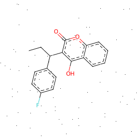 CCC(c1ccc(F)cc1)c1c(O)c2ccccc2oc1=O